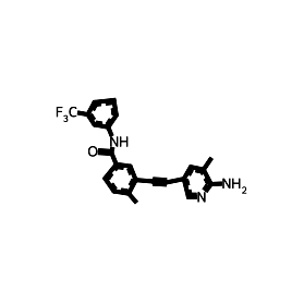 Cc1ccc(C(=O)Nc2cccc(C(F)(F)F)c2)cc1C#Cc1cnc(N)c(C)c1